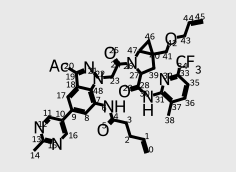 C=CCCC(=O)Nc1cc(-c2cnc(C)nc2)cc2c(C(C)=O)nn(CC(=O)N3C(C(=O)Nc4nc(C(F)(F)F)ccc4C)CC4(COCC=C)CC34)c12